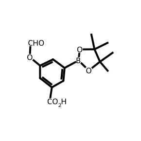 CC1(C)OB(c2cc(OC=O)cc(C(=O)O)c2)OC1(C)C